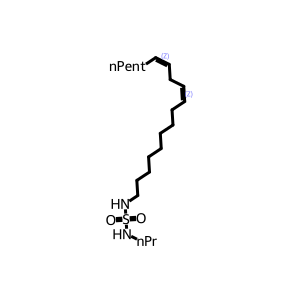 CCCCC/C=C\C/C=C\CCCCCCCCNS(=O)(=O)NCCC